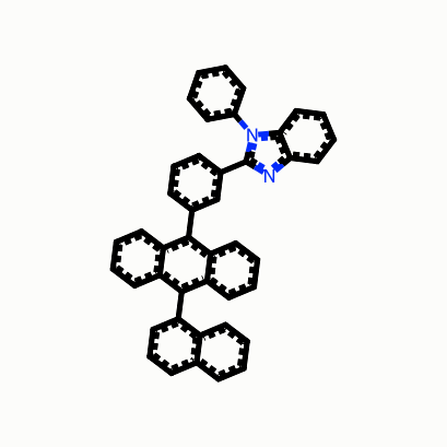 c1ccc(-n2c(-c3cccc(-c4c5ccccc5c(-c5cccc6ccccc56)c5ccccc45)c3)nc3ccccc32)cc1